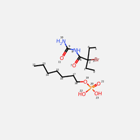 CCC(Br)(CC)C(=O)NC(N)=O.CCCCCCCOP(=O)(O)O